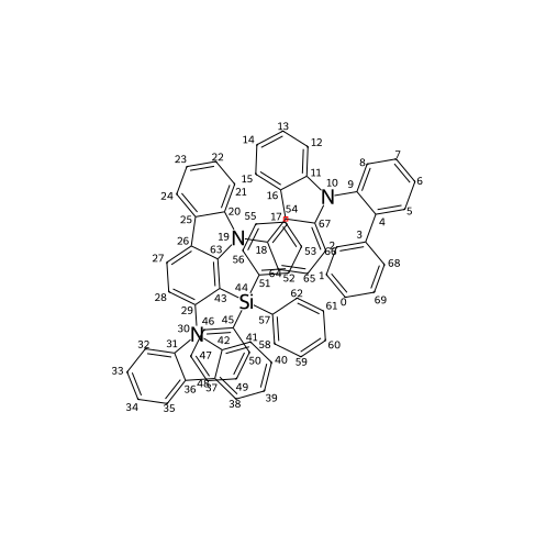 c1ccc(-c2ccccc2-n2c3ccccc3c3c(-n4c5ccccc5c5ccc(-n6c7ccccc7c7ccccc76)c([Si](c6ccccc6)(c6ccccc6)c6ccccc6)c54)cccc32)cc1